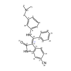 CN(C)Cc1cccc(N/C(=C2\C(=O)Nc3cc(C#N)ccc32)c2ccccc2)c1